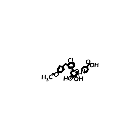 CCOc1ccc(Cc2cc([C@H]3C[C@@H](O)[C@H](O)[C@@H](CN4CCC(C(=O)O)CC4)O3)ccc2Cl)cc1